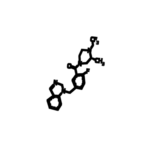 C[C@H]1CN(C(=O)c2cc(CN3CN=Cc4ccccc43)ccc2F)CCN1CC(F)(F)F